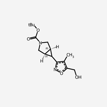 Cc1c(C2[C@H]3CN(C(=O)OC(C)(C)C)C[C@@H]23)noc1CO